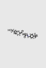 CC(C)(O)c1cc2n(n1)CCN(C(=O)CNC(=O)/C=C/c1ccc(C(F)(F)F)cc1)C2